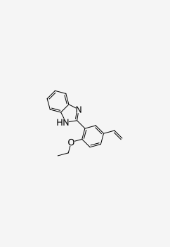 C=Cc1ccc(OCC)c(-c2nc3ccccc3[nH]2)c1